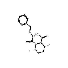 C[C@@H]1CC[C@H](C)[C@@H](C(=O)OCCc2ccccc2)[C@H]1C(=O)O